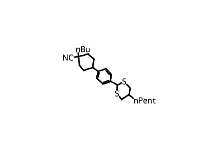 CCCCCC1CSC(c2ccc(C3CCC(C#N)(CCCC)CC3)cc2)SC1